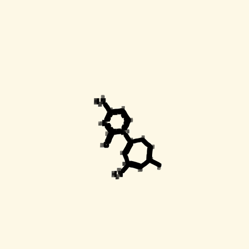 CC1=CCC(n2ccc(N)nc2=O)=CC(N)=C1